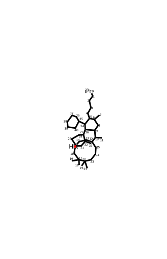 CC(C)CCCCC1C(C)CC(C(C)C2CCBCC(C)(C)C(C)(C)CCC2)C(C2CCCCC2C)C1C1CCCCC1